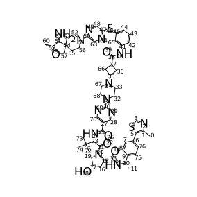 Cc1ncsc1-c1ccc([C@H](C)NC(=O)[C@@H]2C[C@@H](O)CN2C(=O)[C@@H](NC(=O)c2cnc(N3CCN(C4CC(C(=O)Nc5cccc(Sc6cnc(N7CCC8(CC7)CO[C@@H](C)[C@H]8N)cn6)c5)C4)CC3)nc2)C(C)(C)C)cc1